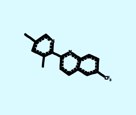 Cc1cnc(-c2ccc3cc(C(F)(F)F)ccc3n2)c(C)c1